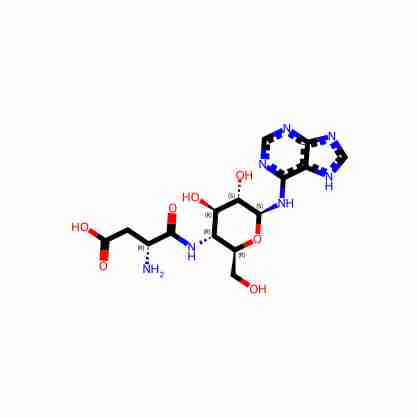 N[C@H](CC(=O)O)C(=O)N[C@@H]1[C@@H](O)[C@H](O)[C@@H](Nc2ncnc3nc[nH]c23)O[C@H]1CO